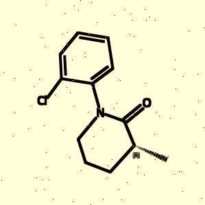 C[C@@H]1CCCN(c2ccccc2Cl)C1=O